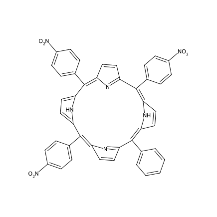 O=[N+]([O-])c1ccc(-c2c3nc(c(-c4ccc([N+](=O)[O-])cc4)c4ccc([nH]4)c(-c4ccc([N+](=O)[O-])cc4)c4nc(c(-c5ccccc5)c5ccc2[nH]5)C=C4)C=C3)cc1